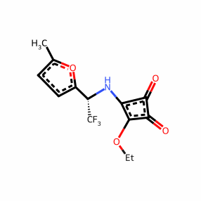 CCOc1c(N[C@@H](c2ccc(C)o2)C(F)(F)F)c(=O)c1=O